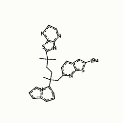 CC(C)(C)c1cc2ccc(CC(C)(CCC(C)(C)c3nc4nccnc4s3)c3cccc4cccn34)nc2s1